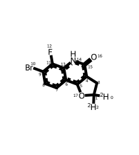 [2H]C1([2H])Cc2c(c3ccc(Br)c(F)c3[nH]c2=O)O1